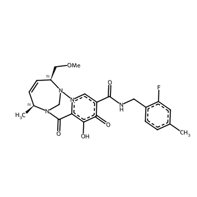 COC[C@@H]1C=C[C@H](C)N2CN1n1cc(C(=O)NCc3ccc(C)cc3F)c(=O)c(O)c1C2=O